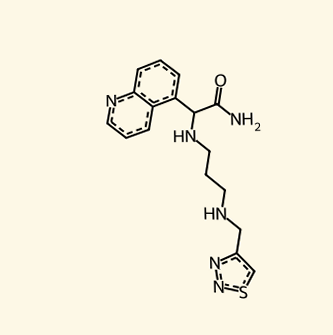 NC(=O)C(NCCCNCc1csnn1)c1cccc2ncccc12